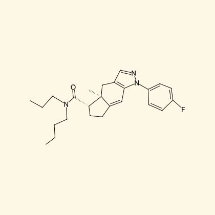 CCCCN(CCC)C(=O)[C@H]1CCC2=Cc3c(cnn3-c3ccc(F)cc3)C[C@@]21C